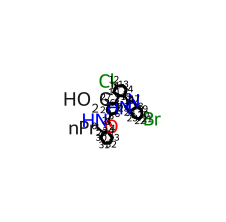 CCC[C@@H](NC(=O)c1ccc(-c2cc(Cl)ccc2-c2nc3cc(Br)ccc3[nH]2)c(C(=O)O)c1)c1ccccc1